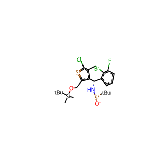 Cc1c(Cl)sc(CO[Si](C)(C)C(C)(C)C)c1[C@@H](N[S@+]([O-])C(C)(C)C)c1cccc(F)c1Br